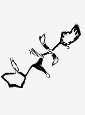 O=C(NS(=O)(=O)c1cccs1)C1CCCN1